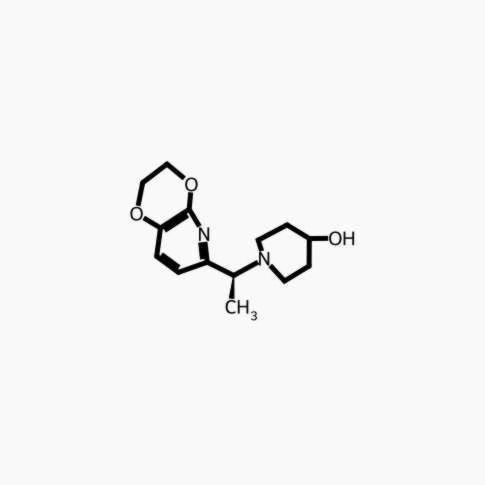 C[C@@H](c1ccc2c(n1)OCCO2)N1CCC(O)CC1